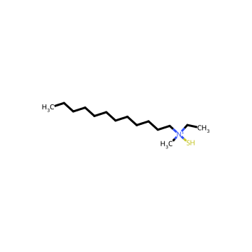 CCCCCCCCCCCC[N+](C)(S)CC